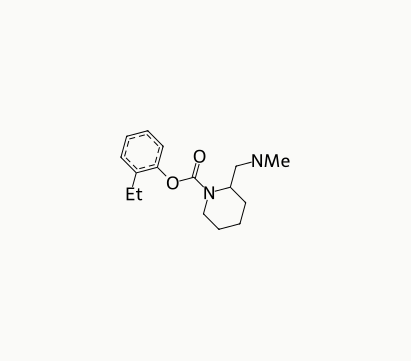 CCc1ccccc1OC(=O)N1CCCCC1CNC